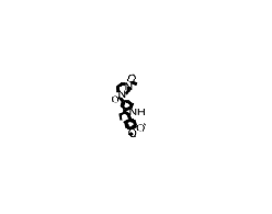 CCc1c(-c2ccc(OC)c(OC)c2)[nH]c2ccc(C(=O)N3CCCN(C(C)=O)CC3)cc12